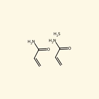 C=CC(N)=O.C=CC(N)=O.S